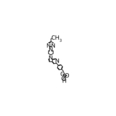 CCc1cnc(N2CCC(n3ccc4cc(-c5ccc(CO[SH](=O)=O)cc5)ncc43)CC2)nc1